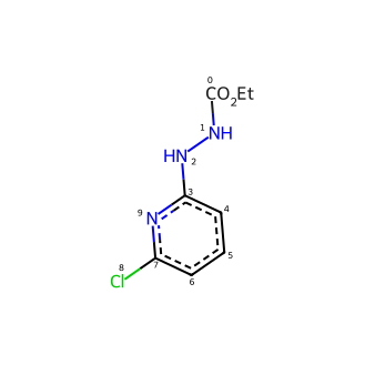 CCOC(=O)NNc1cccc(Cl)n1